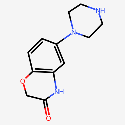 O=C1COc2ccc(N3CCNCC3)cc2N1